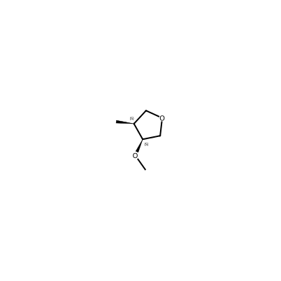 CO[C@@H]1COC[C@@H]1C